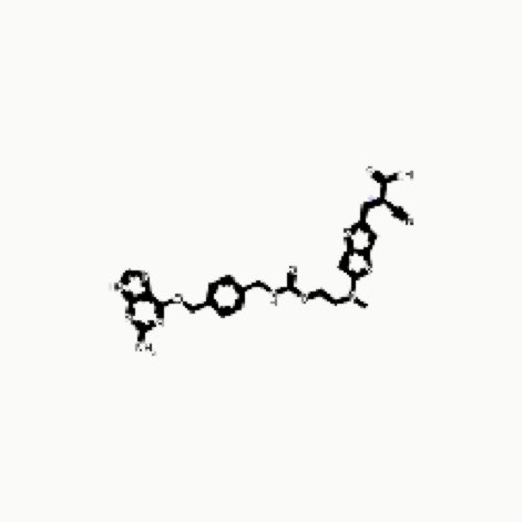 CN(CCOC(=O)NCc1ccc(COc2nc(N)nc3[nH]cnc23)cc1)c1cc2sc(/C=C(\C#N)C(=O)O)cc2s1